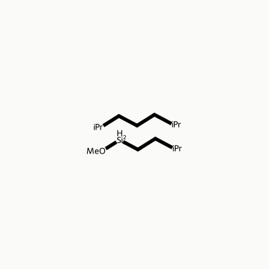 CC(C)CCCC(C)C.CO[SiH2]CCC(C)C